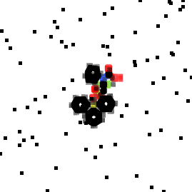 O=C(O)N(C(F)(F)CS(=O)(=O)OS(c1ccccc1)(c1ccccc1)c1ccccc1)C12CCC(CC1)C2